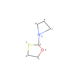 C1CN(C2OCCS2)C1